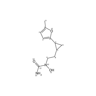 Cc1ccc(C2CC2CCN(O)C(N)=O)o1